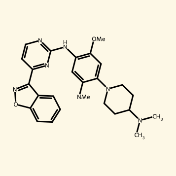 CNc1cc(Nc2nccc(-c3noc4ccccc34)n2)c(OC)cc1N1CCC(N(C)C)CC1